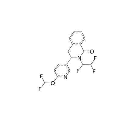 O=C1c2ccccc2CC(c2ccc(OC(F)F)nc2)N1C(F)C(F)F